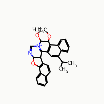 COC1c2c(cc(C(C)C)c3ccccc23)C2=[N+](C=NC3Oc4c(ccc5ccccc45)C23)C1OC